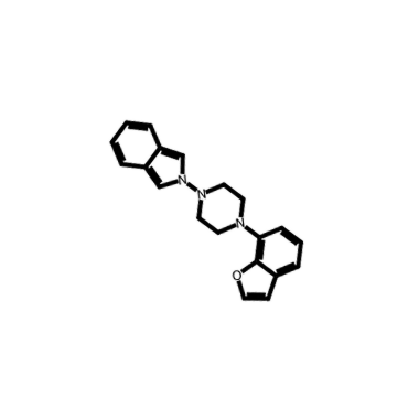 c1ccc2cn(N3CCN(c4cccc5ccoc45)CC3)cc2c1